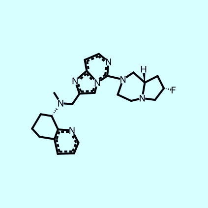 CN(Cc1cn2c(N3CCN4C[C@@H](F)C[C@H]4C3)nccc2n1)[C@H]1CCCc2cccnc21